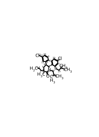 C=CC[C@@]1(C)CC(c2cccc(Cl)c2)[C@@H](c2ccc(Cl)cc2)N([C@H](CCC(C)C)C(C)C)C1=O